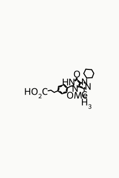 COc1cc(CCC(=O)O)ccc1-c1nc2c(C)nn(C3CCCCC3)c2c(=O)[nH]1